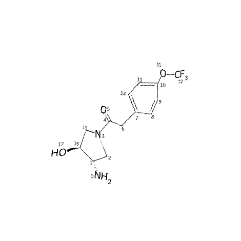 N[C@H]1CN(C(=O)Cc2ccc(OC(F)(F)F)cc2)C[C@@H]1O